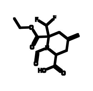 C=C1CC(C(=O)O)N(C=O)C(C(=O)OCC)(C(F)F)C1